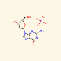 Nc1nc2c(ncn2C2C[C@H](O)[C@@H](CO)O2)c(=O)[nH]1.O=P(O)(O)O